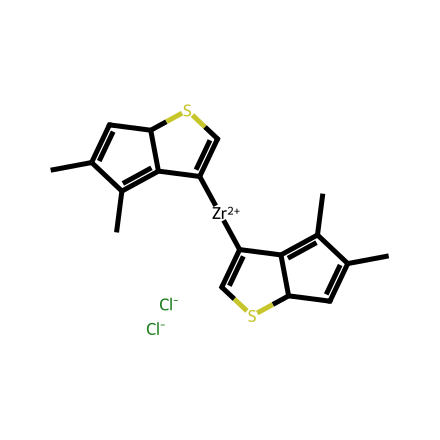 CC1=CC2SC=[C]([Zr+2][C]3=CSC4C=C(C)C(C)=C34)C2=C1C.[Cl-].[Cl-]